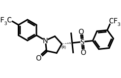 CC(C)([C@@H]1CC(=O)N(c2ccc(C(F)(F)F)cc2)C1)S(=O)(=O)c1cccc(C(F)(F)F)c1